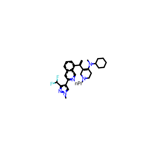 C=C(C1=C(N(C)C2CCCCC2)CCN(CCC)C1)c1cccc2cc(-c3cn(C)nc3C(F)F)ncc12